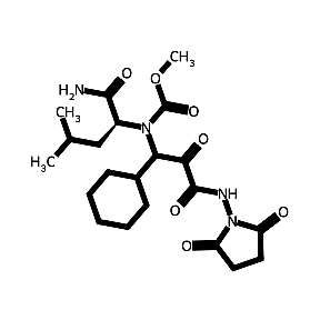 COC(=O)N(C(C(=O)C(=O)NN1C(=O)CCC1=O)C1CCCCC1)[C@@H](CC(C)C)C(N)=O